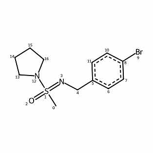 CS(=O)(=NCc1ccc(Br)cc1)N1CCCC1